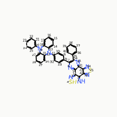 N=C1/C(=N\S)c2nc(-c3ccc(N4c5ccccc5N(c5ccccc5)c5ccccc54)cc3)c(-c3ccccc3)nc2-c2nsnc21